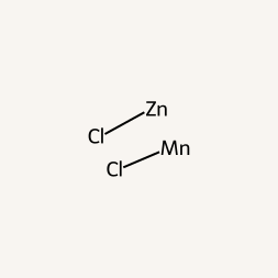 [Cl][Mn].[Cl][Zn]